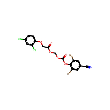 N#Cc1cc(Br)c(OC(=O)OCOC(=O)COc2ccc(Cl)cc2Cl)c(Br)c1